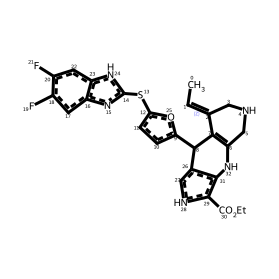 C/C=C1\CNCC2=C1C(c1ccc(Sc3nc4cc(F)c(F)cc4[nH]3)o1)c1c[nH]c(C(=O)OCC)c1N2